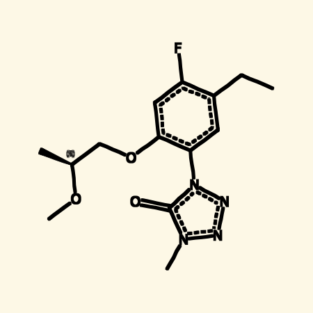 CCc1cc(-n2nnn(C)c2=O)c(OC[C@H](C)OC)cc1F